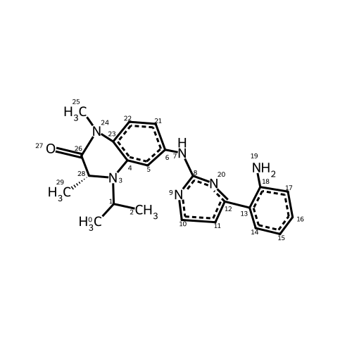 CC(C)N1c2cc(Nc3nccc(-c4ccccc4N)n3)ccc2N(C)C(=O)[C@H]1C